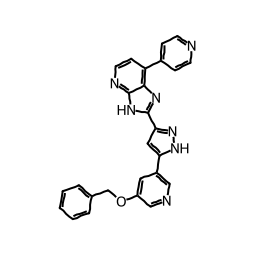 c1ccc(COc2cncc(-c3cc(-c4nc5c(-c6ccncc6)ccnc5[nH]4)n[nH]3)c2)cc1